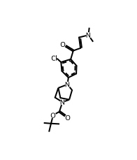 CN(C)/C=C/C(=O)c1ccc(N2CC3CC2CN3C(=O)OC(C)(C)C)cc1Cl